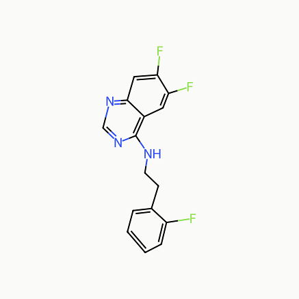 Fc1cc2ncnc(NCCc3ccccc3F)c2cc1F